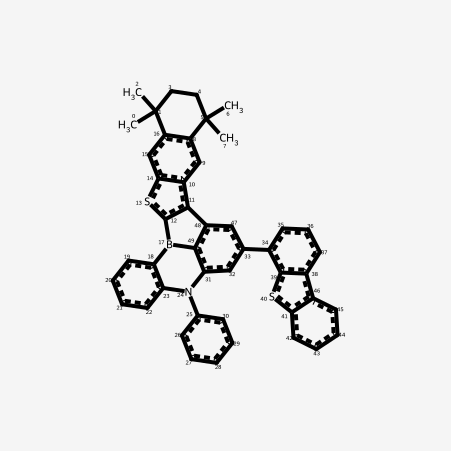 CC1(C)CCC(C)(C)c2cc3c4c(sc3cc21)B1c2ccccc2N(c2ccccc2)c2cc(-c3cccc5c3sc3ccccc35)cc-4c21